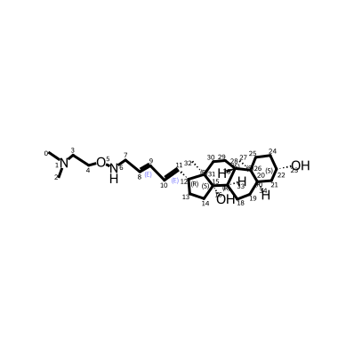 CN(C)CCONC/C=C/C=C/[C@H]1CC[C@]2(O)[C@@H]3CC[C@@H]4C[C@@H](O)CC[C@]4(C)[C@H]3CC[C@]12C